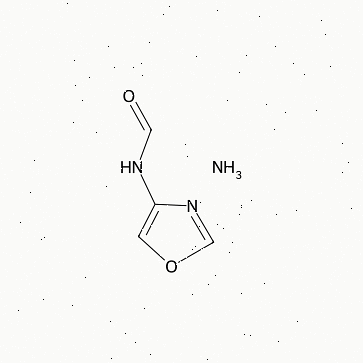 N.O=CNc1cocn1